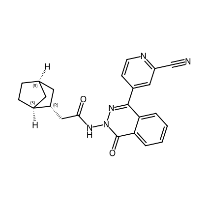 N#Cc1cc(-c2nn(NC(=O)C[C@H]3C[C@@H]4CC[C@H]3C4)c(=O)c3ccccc23)ccn1